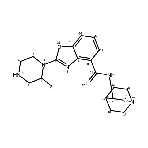 CC1CNCCN1c1nc2c(C(=O)NC3CN4CCC3CC4)cccc2o1